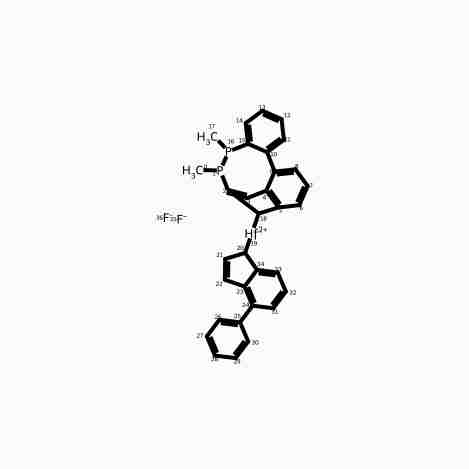 Cp1c2cc3c(cccc3c3ccccc3p1C)[CH]2[Hf+2][CH]1C=Cc2c(-c3ccccc3)cccc21.[F-].[F-]